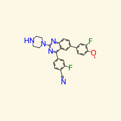 COc1ccc(-c2ccc3nc(N4CCNCC4)nc(-c4ccc(C#N)c(F)c4)c3c2)cc1F